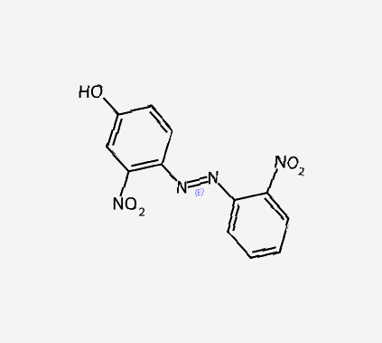 O=[N+]([O-])c1ccccc1/N=N/c1ccc(O)cc1[N+](=O)[O-]